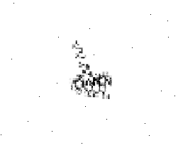 CCCCCCCCCCC(C(CCC)Cc1ccccc1)n1ccnc1